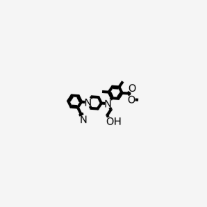 COC(=O)c1cc(N(CCO)C2CCN(c3ccccc3C#N)CC2)c(C)cc1C